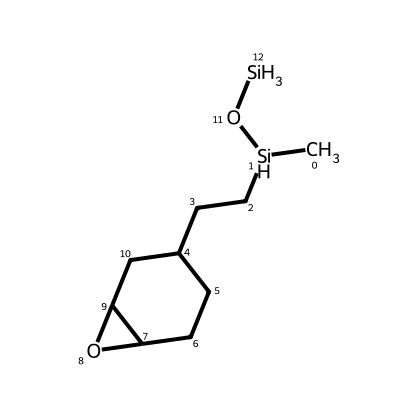 C[SiH](CCC1CCC2OC2C1)O[SiH3]